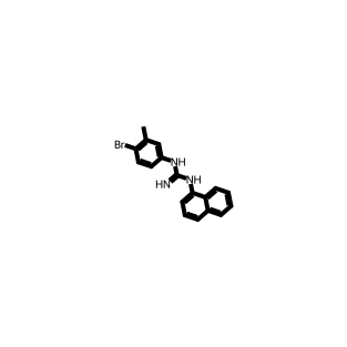 Cc1cc(NC(=N)Nc2cccc3ccccc23)ccc1Br